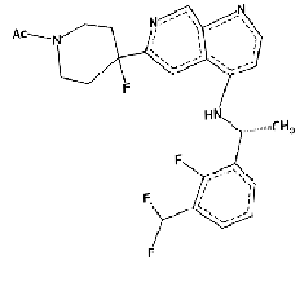 CC(=O)N1CCC(F)(c2cc3c(N[C@H](C)c4cccc(C(F)F)c4F)ccnc3cn2)CC1